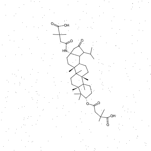 CC(C)C1C(=O)C[C@]2(NC(=O)CC(C)(C)C(=O)O)CC[C@]3(C)C(CC[C@]4(C)C5(C)CC[C@H](OC(=O)CC(C)(C)C(=O)O)C(C)(C)[C@]5(C)CCC43C)C12